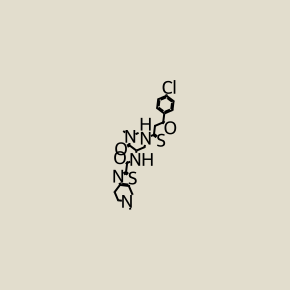 CN1CCc2nc(C(=O)NC(CNC(=S)CC(=O)c3ccc(Cl)cc3)C(=O)N(C)C)sc2C1